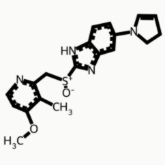 COc1ccnc(C[S+]([O-])c2nc3cc(N4C=CCC4)ccc3[nH]2)c1C